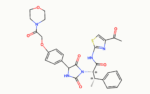 CC(=O)c1csc(NC(=O)[C@H]([C@@H](C)c2ccccc2)N2C(=O)NC(c3ccc(OCC(=O)N4CCOCC4)cc3)C2=O)n1